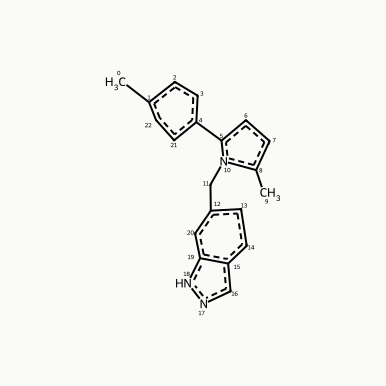 Cc1ccc(-c2c[c]c(C)n2Cc2ccc3cn[nH]c3c2)cc1